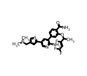 CC(Oc1cc(-c2cc(-c3cc(CN(C)C)cs3)cnc2N)ccc1C(N)=O)/C(F)=C/C(F)F